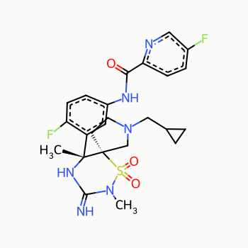 CN1C(=N)N[C@](C)(c2cc(NC(=O)c3ccc(F)cn3)ccc2F)[C@]2(CCN(CC3CC3)C2)S1(=O)=O